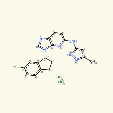 Cc1cc(Nc2ccc3ncn([C@@H]4CCc5ccc(F)cc54)c3n2)[nH]n1.Cl.Cl